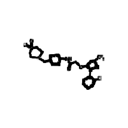 O=C(COc1cc(C(F)(F)F)nn1-c1ccccc1Cl)Nc1ccc(CN2CCS(=O)(=O)CC2)cc1